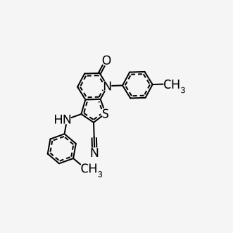 Cc1ccc(-n2c(=O)ccc3c(Nc4cccc(C)c4)c(C#N)sc32)cc1